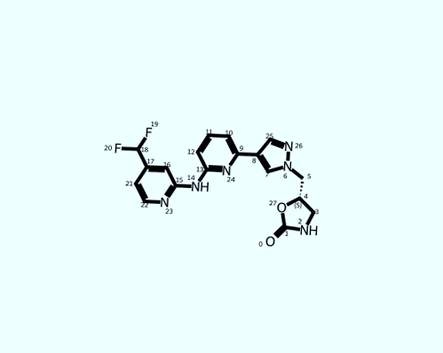 O=C1NC[C@@H](Cn2cc(-c3cccc(Nc4cc(C(F)F)ccn4)n3)cn2)O1